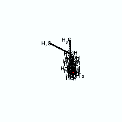 CCCCCCCCCCCCC/C=C/[C@@H](O)[C@H](CO[C@@H]1OC(CO)[C@@H](O[C@@H]2OC(CO)[C@H](O[C@@H]3OC(CO)[C@H](O)[C@H](O[C@@H]4OC(CO)[C@H](O)[C@H](O[C@@H]5OC(CO)[C@H](O)[C@H](O[C@]6(C(=O)O)CC(O)[C@@H](NC(C)=O)C([C@H](O)[C@H](O)CO)O6)C5O)C4NC(C)=O)C3O)[C@H](O)C2O)[C@H](O)C1O)NC(=O)CCCCCCCCCCCCCCCCCCCCCCCCC